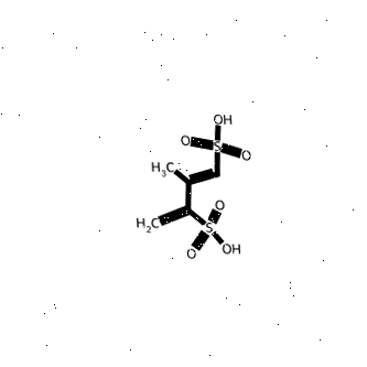 C=C(/C(C)=C/S(=O)(=O)O)S(=O)(=O)O